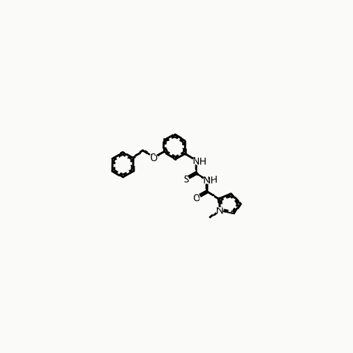 Cn1cccc1C(=O)NC(=S)Nc1cccc(OCc2ccccc2)c1